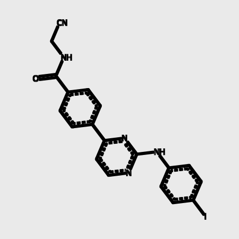 N#CCNC(=O)c1ccc(-c2ccnc(Nc3ccc(I)cc3)n2)cc1